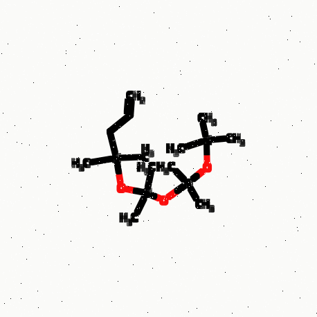 C=CC[Si](C)(C)O[Si](C)(C)O[Si](C)(C)O[Si](C)(C)C